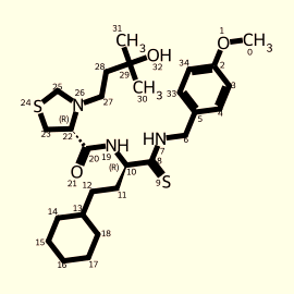 COc1ccc(CNC(=S)[C@@H](CCC2CCCCC2)NC(=O)[C@@H]2CSCN2CCC(C)(C)O)cc1